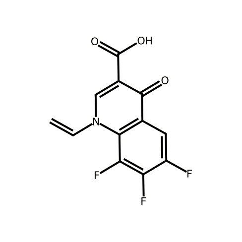 C=Cn1cc(C(=O)O)c(=O)c2cc(F)c(F)c(F)c21